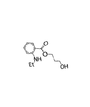 CCNc1ccccc1C(=O)OCCCO